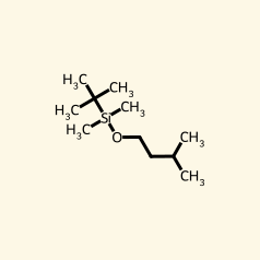 CC(C)CCO[Si](C)(C)C(C)(C)C